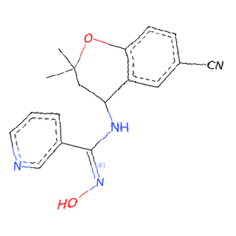 CC1(C)CC(N/C(=N/O)c2cccnc2)c2cc(C#N)ccc2O1